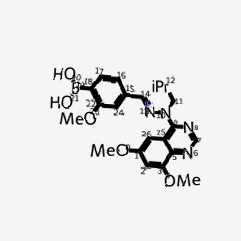 COc1cc(OC)c2ncnc(N(CC(C)C)/N=C/c3ccc(B(O)O)c(OC)c3)c2c1